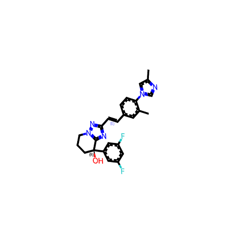 Cc1cn(-c2ccc(/C=C/c3nc4n(n3)CCC[C@@]4(O)c3cc(F)cc(F)c3)cc2C)cn1